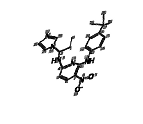 CCC(Nc1ccc([N+](=O)[O-])c(Nc2ccc(C(C)(C)C)cc2)n1)n1ccnc1